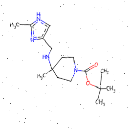 Cc1nc(CNC2(C)CCN(C(=O)OC(C)(C)C)CC2)c[nH]1